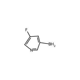 Bc1cncc(F)c1